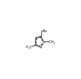 CCCCc1cc(C)nn1C